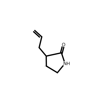 C=CCC1[CH]CNC1=O